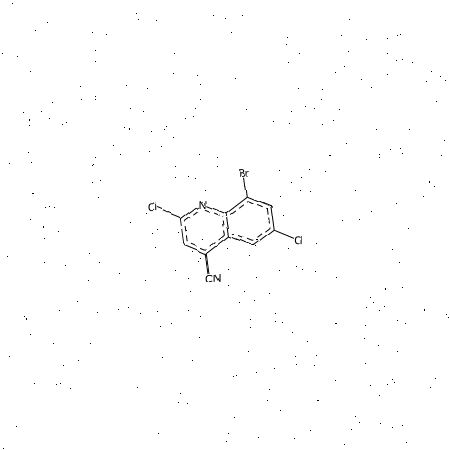 N#Cc1cc(Cl)nc2c(Br)cc(Cl)cc12